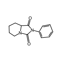 O=C1C2CCCCN2C(=O)N1c1ccccc1